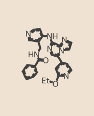 CCOc1cc(-c2cnc(Nc3ccncc3CNC(=O)c3ccccc3)c3nccn23)ccn1